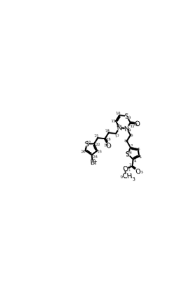 COC(=O)c1ccc(CCN2C(=O)SC=CN2CCC(=O)Cc2cc(Br)cs2)s1